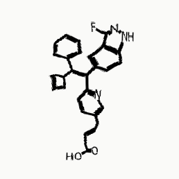 O=C(O)C=Cc1ccc(C(=C(c2ccccc2)C2CCC2)c2ccc3[nH]nc(F)c3c2)nc1